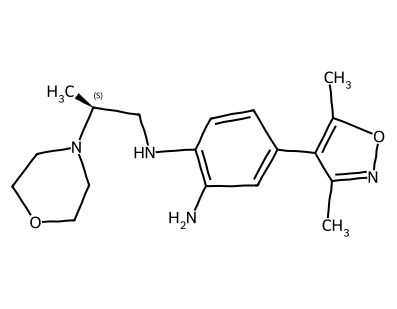 Cc1noc(C)c1-c1ccc(NC[C@H](C)N2CCOCC2)c(N)c1